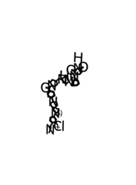 C[N+]#Cc1ccc(N2CC3(CCN(c4ccc(C(=O)N5CCC(CN6CCN(c7ccccc7NC7CCC(=O)NC7=O)CC6)CC5)cc4)CC3)C[C@@H]2C)cc1Cl